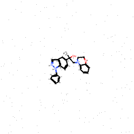 OC(CN1CCOc2ccccc21)(c1ccc2c(cnn2-c2ccccc2)c1)C(F)(F)F